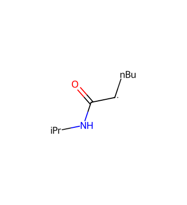 CCCC[CH]C(=O)NC(C)C